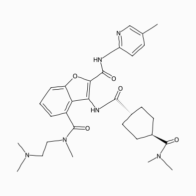 Cc1ccc(NC(=O)c2oc3cccc(C(=O)N(C)CCN(C)C)c3c2NC(=O)[C@H]2CC[C@H](C(=O)N(C)C)CC2)nc1